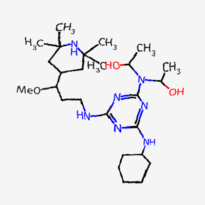 COC(CCNc1nc(NC2CCCCC2)nc(N(C(C)O)C(C)O)n1)C1CC(C)(C)NC(C)(C)C1